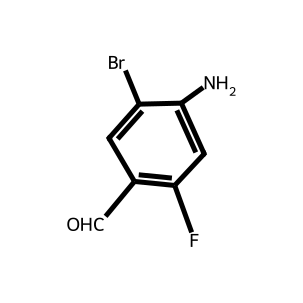 Nc1cc(F)c(C=O)cc1Br